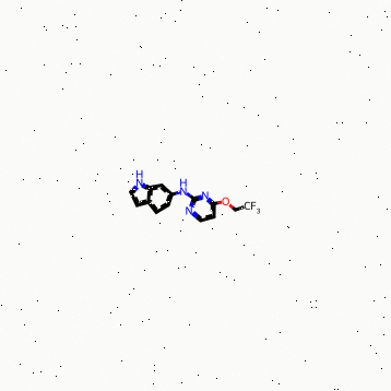 FC(F)(F)COc1ccnc(Nc2ccc3cc[nH]c3c2)n1